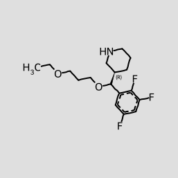 CCOCCCOC(c1cc(F)cc(F)c1F)[C@@H]1CCCNC1